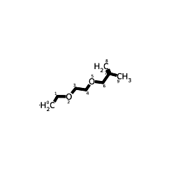 [CH2]COCCOCC(=C)C